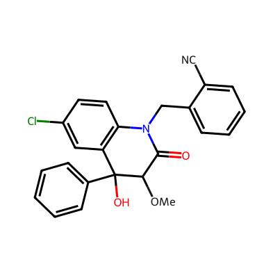 COC1C(=O)N(Cc2ccccc2C#N)c2ccc(Cl)cc2C1(O)c1ccccc1